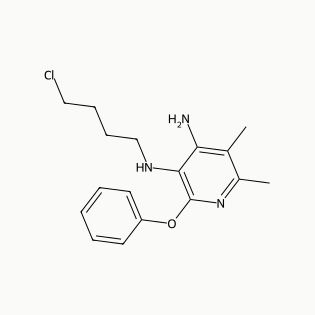 Cc1nc(Oc2ccccc2)c(NCCCCCl)c(N)c1C